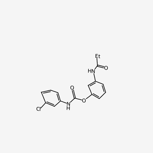 CCC(=O)Nc1cccc(OC(=O)Nc2cccc(Cl)c2)c1